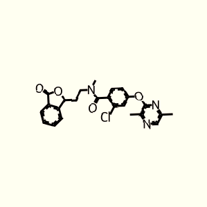 Cc1cnc(C)c(Oc2ccc(C(=O)N(C)CCC3OC(=O)c4ccccc43)c(Cl)c2)n1